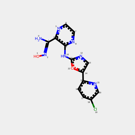 NC(=NO)c1nccnc1Nc1ncc(-c2ccc(Cl)cn2)o1